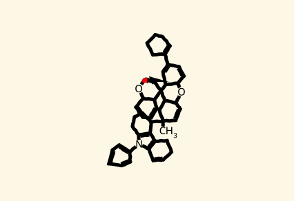 CC1(C2CCCc3c2c2c(n3-c3ccccc3)C=CCC2)C=CC2OC3C=CC(C4=CCCCC4)=CC3C3(C4=CCCC=C4OC4C=CC=CC43)C2C1